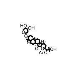 CC(=O)O[C@@H](C1C[C@@H](C)[C@H]2C(O1)C(=O)[C@@]1(C)C3CC[C@H]4C(C)(C)[C@@H](O[C@H]5C[C@@H](O)C(O)CO5)CC[C@@]45C[C@@]35CC[C@]21C)C(C)(C)O